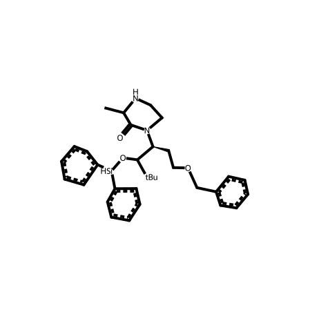 CC1NCCN([C@@H](CCOCc2ccccc2)C(O[SiH](c2ccccc2)c2ccccc2)C(C)(C)C)C1=O